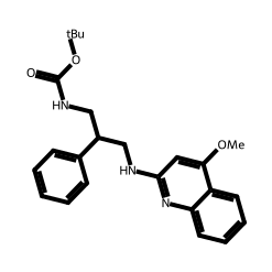 COc1cc(NCC(CNC(=O)OC(C)(C)C)c2ccccc2)nc2ccccc12